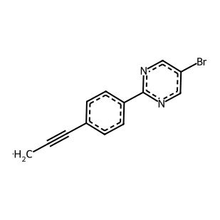 [CH2]C#Cc1ccc(-c2ncc(Br)cn2)cc1